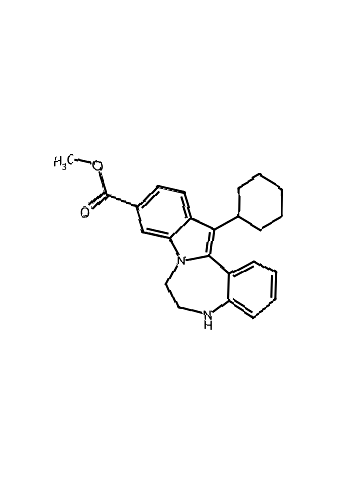 COC(=O)c1ccc2c(C3CCCCC3)c3n(c2c1)CCNc1ccccc1-3